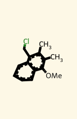 COc1c(C)c(C)c(CCl)c2ccccc12